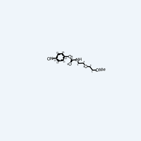 COCCOCCNC(=O)Oc1ccc(N=O)cc1